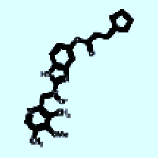 COc1c(C)cnc(C[S+]([O-])c2nc3cc(OC(=O)CCC4CCCC4)ccc3[nH]2)c1C